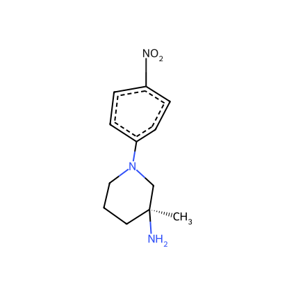 C[C@]1(N)CCCN(c2ccc([N+](=O)[O-])cc2)C1